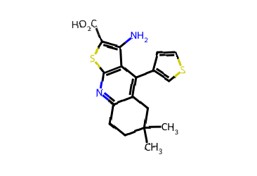 CC1(C)CCc2nc3sc(C(=O)O)c(N)c3c(-c3ccsc3)c2C1